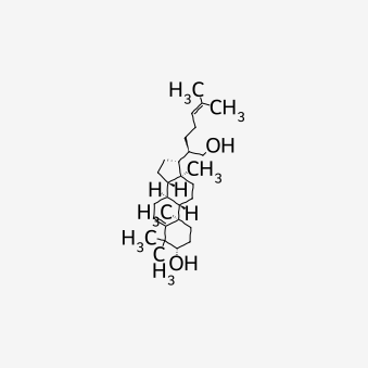 CC(C)=CCC[C@@H](CO)[C@H]1CC[C@H]2[C@@H]3CC=C4C(C)(C)[C@@H](O)CC[C@]4(C)[C@H]3CC[C@]12C